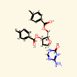 Cc1ccc(C(=O)OC[C@H]2O[C@H](n3cnc(N)nc3=O)C[C@H]2OC(=O)c2ccc(C)cc2)cc1